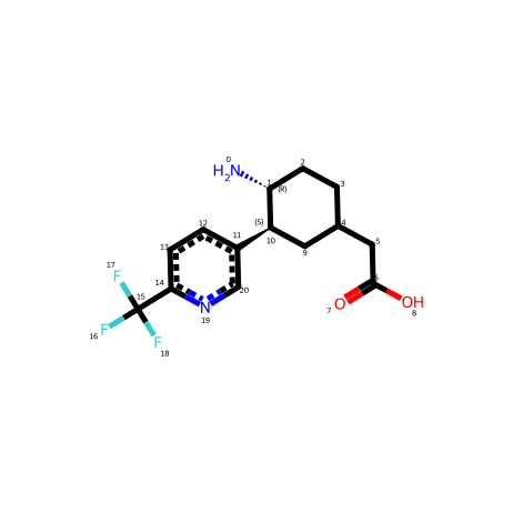 N[C@@H]1CCC(CC(=O)O)C[C@H]1c1ccc(C(F)(F)F)nc1